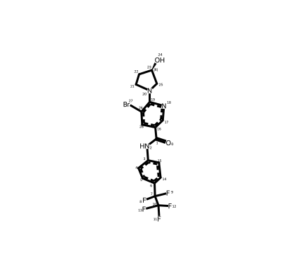 O=C(Nc1ccc(C(F)(F)C(F)(F)F)cc1)c1cnc(N2CC[C@@H](O)C2)c(Br)c1